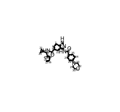 O=C(Nc1n[nH]c2ccc(C(=O)NC(c3cccs3)C3CC3)cc12)c1ccc(N2CCOCC2)cc1